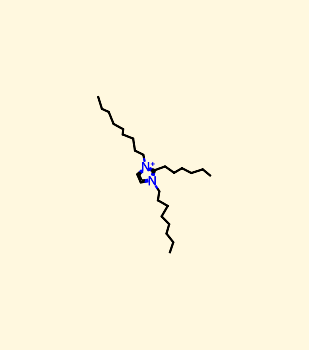 CCCCCCCCC[n+]1ccn(CCCCCCCC)c1CCCCCC